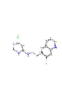 Fc1cc2ncccc2cc1CCNc1cc(Cl)ncn1